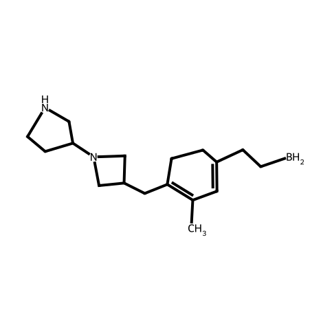 BCCC1=CC(C)=C(CC2CN(C3CCNC3)C2)CC1